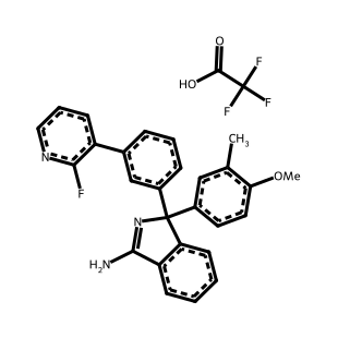 COc1ccc(C2(c3cccc(-c4cccnc4F)c3)N=C(N)c3ccccc32)cc1C.O=C(O)C(F)(F)F